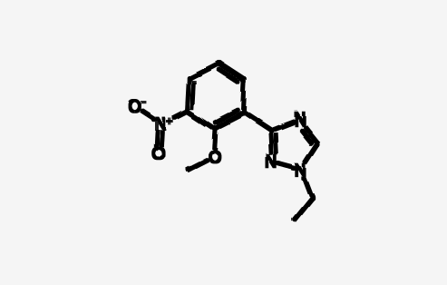 CCn1cnc(-c2cccc([N+](=O)[O-])c2OC)n1